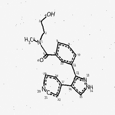 CN(CCO)C(=O)c1cccc(-c2n[nH]cc2-c2ccncc2)c1